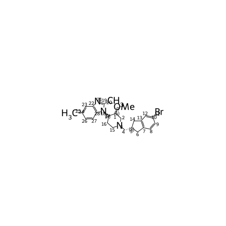 CO[C@H]1CN(C[C@H]2Cc3ccc(Br)cc3C2)CC[C@H]1n1c(C)nc2cc(C)ccc21